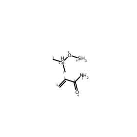 C=CC(N)=O.C[SiH](C)O[SiH3]